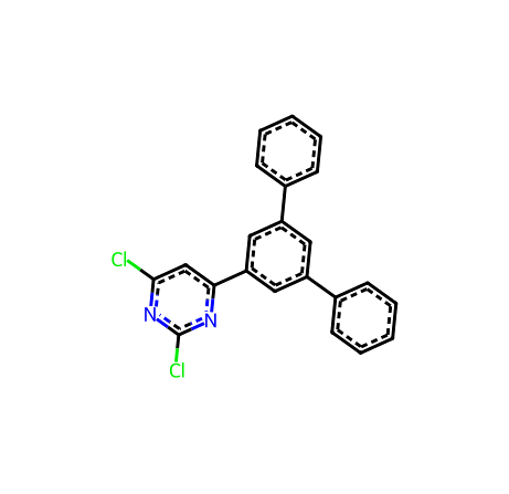 Clc1cc(-c2cc(-c3ccccc3)cc(-c3ccccc3)c2)nc(Cl)n1